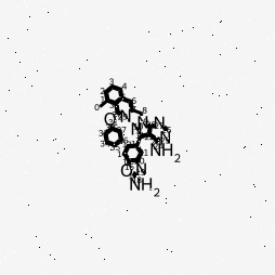 Cc1cccc2cc(Cn3nc(-c4ccc5oc(N)nc5c4)c4c(N)ncnc43)nc(Oc3ccccc3)c12